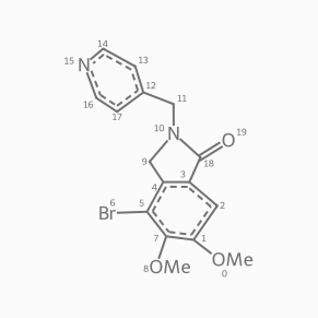 COc1cc2c(c(Br)c1OC)CN(Cc1ccncc1)C2=O